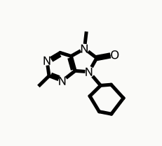 Cc1ncc2c(n1)n(C1CCCCC1)c(=O)n2C